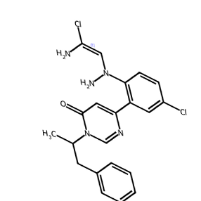 CC(Cc1ccccc1)n1cnc(-c2cc(Cl)ccc2N(N)/C=C(\N)Cl)cc1=O